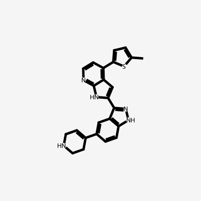 Cc1ccc(-c2ccnc3[nH]c(-c4n[nH]c5ccc(C6=CCNCC6)cc45)cc23)s1